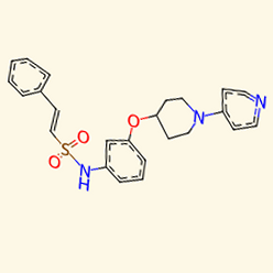 O=S(=O)(C=Cc1ccccc1)Nc1cccc(OC2CCN(c3ccncc3)CC2)c1